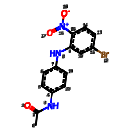 CC(=O)Nc1ccc(Nc2cc(Br)ccc2[N+](=O)[O-])cc1